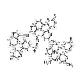 Cc1cccc(-c2ncc(F)cc2-c2ccc3ncc(C#N)n3c2)n1.Cc1cccc(-c2ncc(F)cc2-c2ccc3ncc(C(N)=O)n3c2)n1.N#Cc1cnc2ccc(-c3cc(F)cnc3-c3cccc(C(F)F)n3)cn12